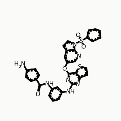 Nc1ccc(C(=O)Nc2cccc(Nc3nc(Oc4cnc5c(ccn5S(=O)(=O)c5ccccc5)c4)c4sccc4n3)c2)cc1